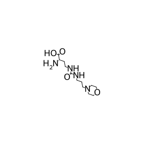 N[C@@H](CCNC(=O)NCCCN1CCOCC1)C(=O)O